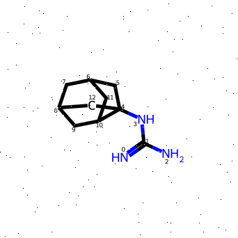 N=C(N)NC12CC3CC(CC1C3)C2